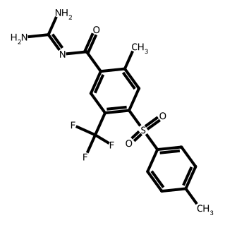 Cc1ccc(S(=O)(=O)c2cc(C)c(C(=O)N=C(N)N)cc2C(F)(F)F)cc1